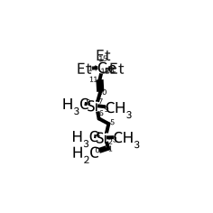 C=C[Si](C)(C)CC[Si](C)(C)C#[C][Ge]([CH2]C)([CH2]C)[CH2]C